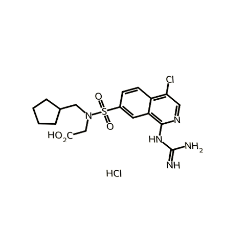 Cl.N=C(N)Nc1ncc(Cl)c2ccc(S(=O)(=O)N(CC(=O)O)CC3CCCC3)cc12